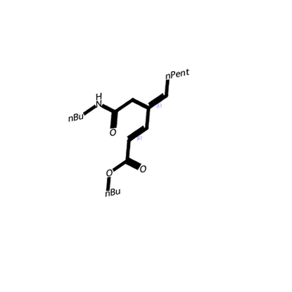 CCCCC/C=C(/C=C/C(=O)OCCCC)CC(=O)NCCCC